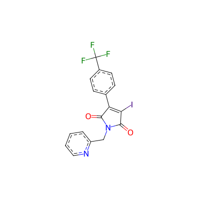 O=C1C(I)=C(c2ccc(C(F)(F)F)cc2)C(=O)N1Cc1ccccn1